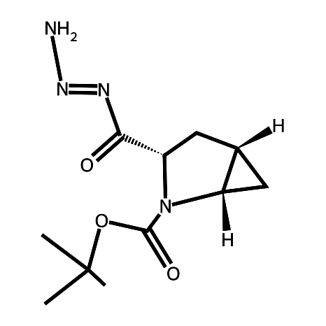 CC(C)(C)OC(=O)N1[C@H](C(=O)N=NN)C[C@@H]2C[C@@H]21